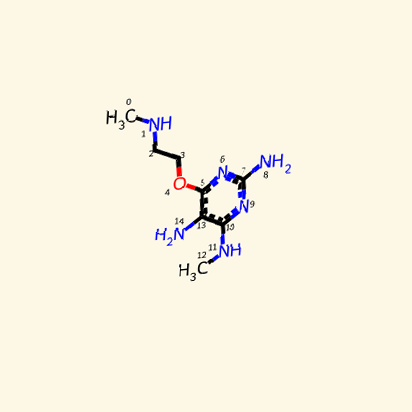 CNCCOc1nc(N)nc(NC)c1N